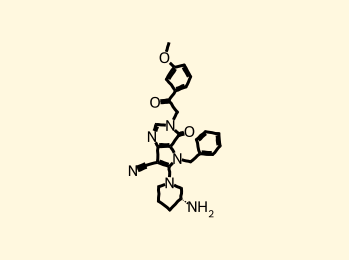 COc1cccc(C(=O)Cn2cnc3c(C#N)c(N4CCC[C@@H](N)C4)n(Cc4ccccc4)c3c2=O)c1